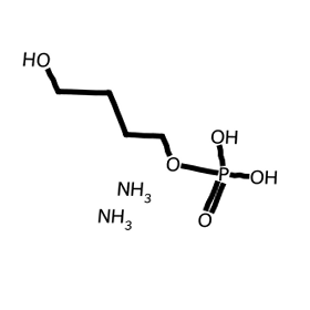 N.N.O=P(O)(O)OCCCCO